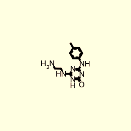 Cc1ccc(Nc2nc(NCCN)[nH]c(=O)n2)cc1